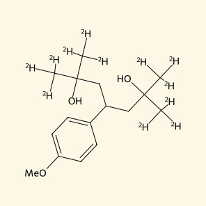 [2H]C([2H])([2H])C(O)(CC(CC(O)(C([2H])([2H])[2H])C([2H])([2H])[2H])c1ccc(OC)cc1)C([2H])([2H])[2H]